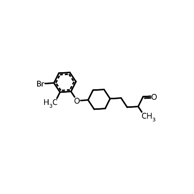 Cc1c(Br)cccc1OC1CCC(CCC(C)C=O)CC1